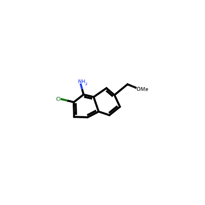 COCc1ccc2ccc(Cl)c(N)c2c1